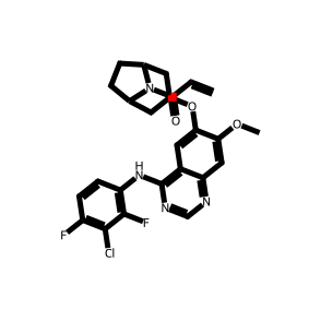 C=CC(=O)N1C2CCC1CC(Oc1cc3c(Nc4ccc(F)c(Cl)c4F)ncnc3cc1OC)C2